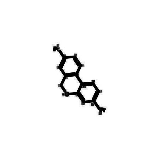 CC(C)c1ccc2c(c1)COc1cc(C(C)C)ccc1-2